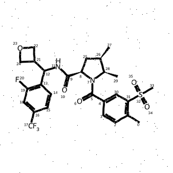 Cc1ccc(C(=O)N2[C@@H](C(=O)NC(c3ccc(C(F)(F)F)cc3F)C3COC3)C[C@@H](C)[C@H]2C)cc1S(C)(=O)=O